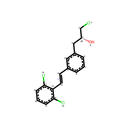 O[C@@H](CCl)Cc1cccc(/C=C/c2c(Cl)cccc2Cl)c1